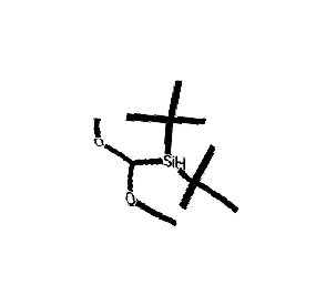 COC(OC)[SiH](C(C)(C)C)C(C)(C)C